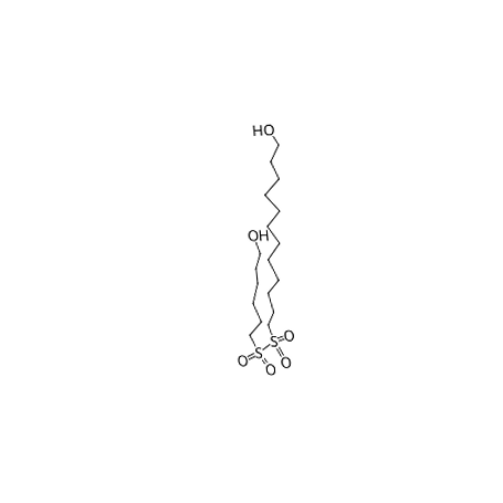 O=S(=O)(CCCCCCO)S(=O)(=O)CCCCCCCCCCCCO